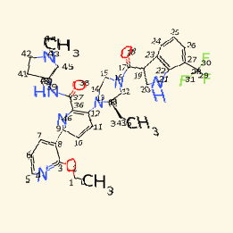 CCOc1ncccc1-c1ccc(N2CCN(C(=O)C3CNc4c3cccc4C(F)(F)F)C[C@H]2CC)c(C(=O)N[C@H]2CCN(C)C2)n1